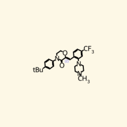 CN1CCN(c2cc(C(F)(F)F)ccc2/C=C2\OCCN(c3ccc(C(C)(C)C)cc3)C2=O)CC1